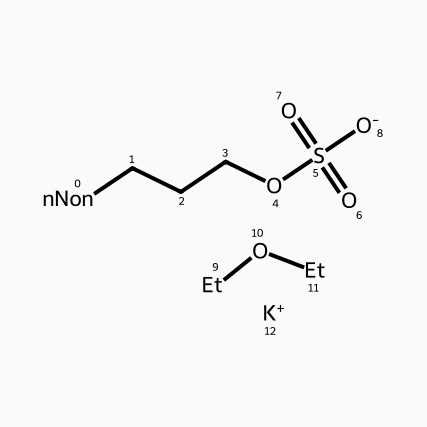 CCCCCCCCCCCCOS(=O)(=O)[O-].CCOCC.[K+]